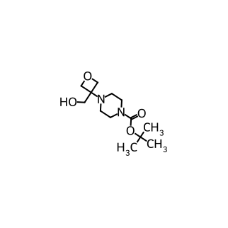 CC(C)(C)OC(=O)N1CCN(C2(CO)COC2)CC1